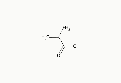 C=C(P)C(=O)O